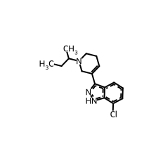 CCC(C)N1CCC=C(c2n[nH]c3c(Cl)cccc23)C1